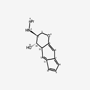 CCCN[C@H]1COC2=CC3=CC=CC3=CC2[C@@H]1O